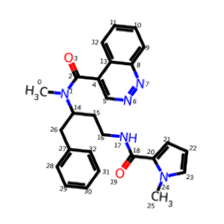 CN(C(=O)c1cnnc2ccccc12)C(CCNC(=O)c1cccn1C)Cc1ccccc1